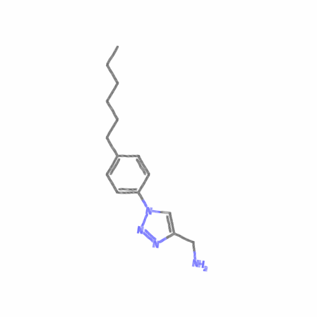 CCCCCCc1ccc(-n2cc(CN)nn2)cc1